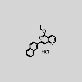 CCOC(=O)c1cccnc1C=Cc1ccc2ccccc2c1.Cl